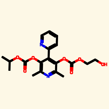 Cc1nc(C)c(OC(=O)OC(C)C)c(-c2ccccn2)c1OC(=O)OCCO